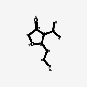 CC(C)C1C(=O)COC1CCF